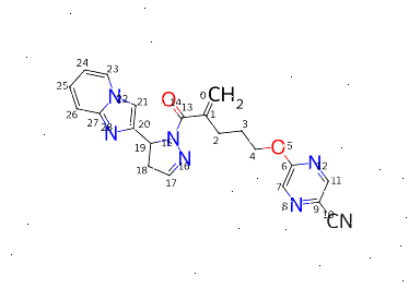 C=C(CCCOc1cnc(C#N)cn1)C(=O)N1N=CCC1c1cn2ccccc2n1